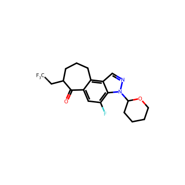 O=C1c2cc(F)c3c(cnn3C3CCCCO3)c2CCCC1CC(F)(F)F